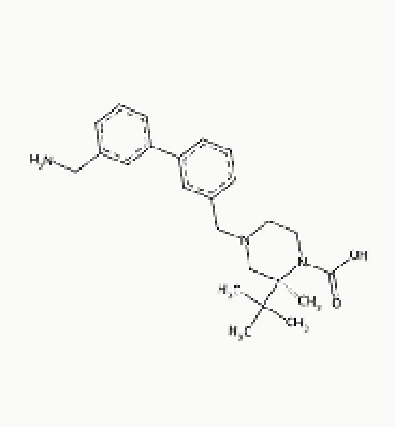 CC(C)(C)[C@@]1(C)CN(Cc2cccc(-c3cccc(CN)c3)c2)CCN1C(=O)O